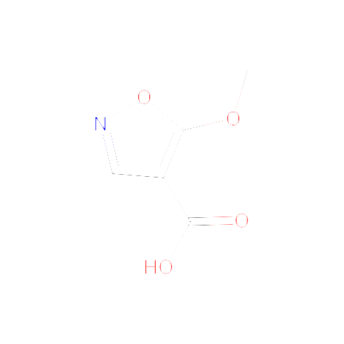 COc1oncc1C(=O)O